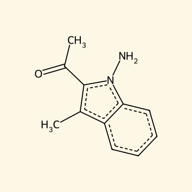 CC(=O)c1c(C)c2ccccc2n1N